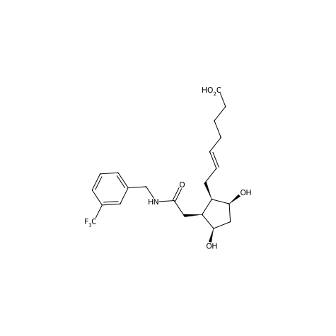 O=C(O)CCCC=CC[C@@H]1[C@H](CC(=O)NCc2cccc(C(F)(F)F)c2)[C@H](O)C[C@@H]1O